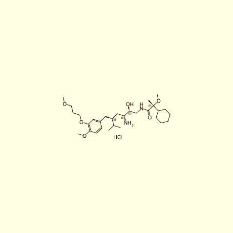 COCCCOc1cc(C[C@@H](C[C@H](N)[C@@H](O)CNC(=O)[C@](C)(OC)C2CCCCC2)C(C)C)ccc1OC.Cl